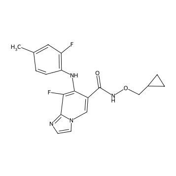 Cc1ccc(Nc2c(C(=O)NOCC3CC3)cn3ccnc3c2F)c(F)c1